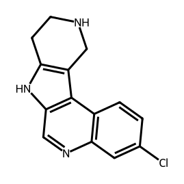 Clc1ccc2c(c1)ncc1[nH]c3c(c12)CNCC3